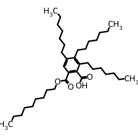 CCCCCCCCCOC(=O)c1cc(CCCCCCC)c(CCCCCCC)c(CCCCCCC)c1C(=O)O